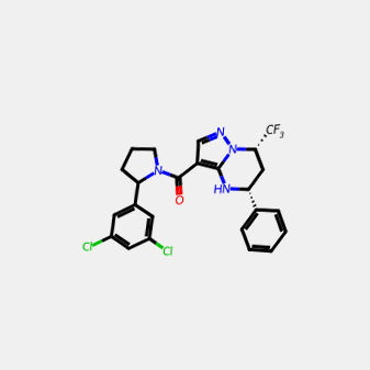 O=C(c1cnn2c1N[C@@H](c1ccccc1)C[C@H]2C(F)(F)F)N1CCCC1c1cc(Cl)cc(Cl)c1